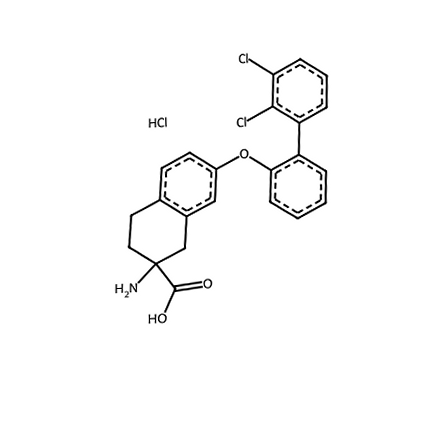 Cl.NC1(C(=O)O)CCc2ccc(Oc3ccccc3-c3cccc(Cl)c3Cl)cc2C1